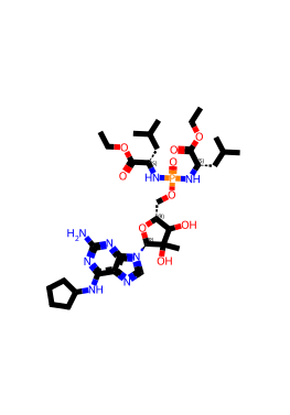 CCOC(=O)[C@H](CC(C)C)NP(=O)(N[C@@H](CC(C)C)C(=O)OCC)OC[C@H]1O[C@@H](n2cnc3c(NC4CCCC4)nc(N)nc32)C(C)(O)C1O